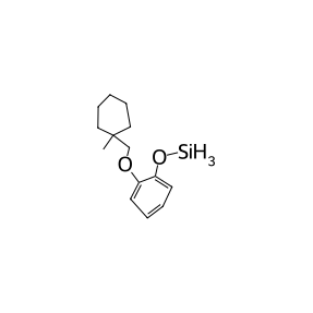 CC1(COc2ccccc2O[SiH3])CCCCC1